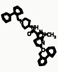 Cn1nc(C(=O)NC2CCN(Cc3ccccc3-c3ccccc3)CC2)c2ccc(OCc3ccccc3-c3ccccc3)nc21